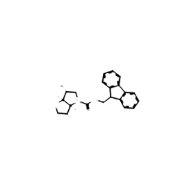 O=C(OCC1c2ccccc2-c2ccccc21)N1C[C@H](Cl)[C@H]2OC[C@H](O)[C@H]21